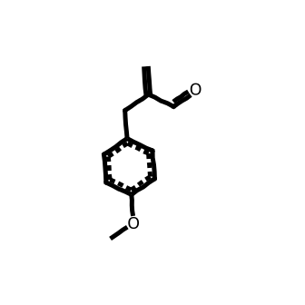 C=C(C=O)Cc1ccc(OC)cc1